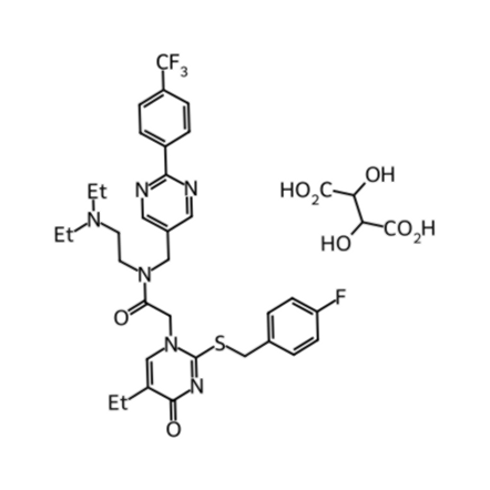 CCc1cn(CC(=O)N(CCN(CC)CC)Cc2cnc(-c3ccc(C(F)(F)F)cc3)nc2)c(SCc2ccc(F)cc2)nc1=O.O=C(O)C(O)C(O)C(=O)O